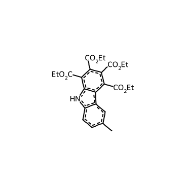 CCOC(=O)c1c(C(=O)OCC)c(C(=O)OCC)c2c([nH]c3ccc(C)cc32)c1C(=O)OCC